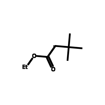 CCOC(=O)[CH]C(C)(C)C